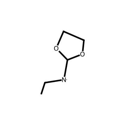 CC[N]C1OCCO1